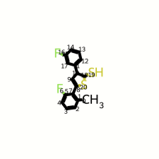 Cc1cccc(F)c1C1=CC(c2cccc(F)c2)C(S)S1